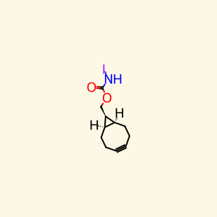 O=C(NI)OC[C@@H]1[C@@H]2CCC#CCC[C@@H]21